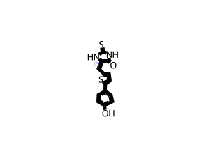 O=C1NC(=S)N/C1=C/c1ccc(-c2ccc(O)cc2)s1